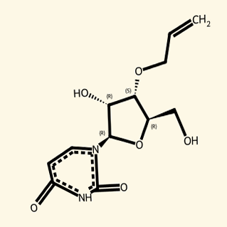 C=CCO[C@H]1[C@@H](O)[C@H](n2ccc(=O)[nH]c2=O)O[C@@H]1CO